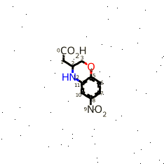 O=C(O)CC1COc2ccc([N+](=O)[O-])cc2N1